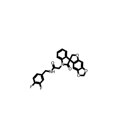 O=C(CN1C(=O)C2(COc3cc4c(cc32)OCO4)c2ccccc21)NCc1ccc(F)c(F)c1